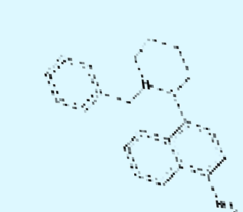 O=[N+]([O-])c1ccc(N2CCCCN2Cc2ccccc2)c2ccccc12